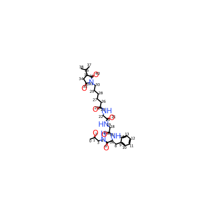 CC(=O)CNC(=O)[C@H](Cc1ccccc1)NC(=O)CNC(=O)CNC(=O)CCCCCN1C(=O)CC(C(C)C)C1=O